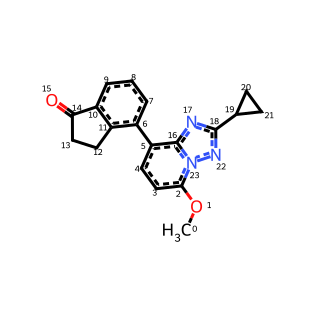 COc1ccc(-c2cccc3c2CCC3=O)c2nc(C3CC3)nn12